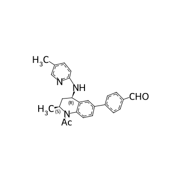 CC(=O)N1c2ccc(-c3ccc(C=O)cc3)cc2[C@H](Nc2ccc(C)cn2)C[C@@H]1C